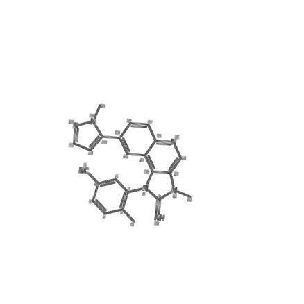 Cc1ccc(C#N)cc1-n1c(=N)n(C)c2cnc3ccc(-c4ccnn4C)cc3c21